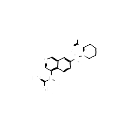 N=C(N)N(Cl)c1cncc2cc(S(=O)(=O)N3CCCC[C@@H]3C(=O)O)ccc12